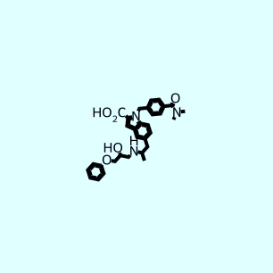 CC(Cc1ccc2c(c1)cc(C(=O)O)n2Cc1ccc(C(=O)N(C)C)cc1)NCC(O)COc1ccccc1